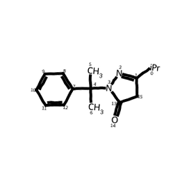 CC(C)C1=NN(C(C)(C)c2ccccc2)C(=O)C1